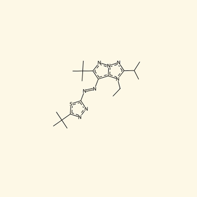 CCn1c(C(C)C)nn2nc(C(C)(C)C)c(N=Nc3nnc(C(C)(C)C)s3)c12